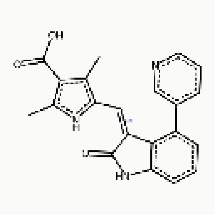 Cc1[nH]c(/C=C2\C(=O)Nc3cccc(-c4cccnc4)c32)c(C)c1C(=O)O